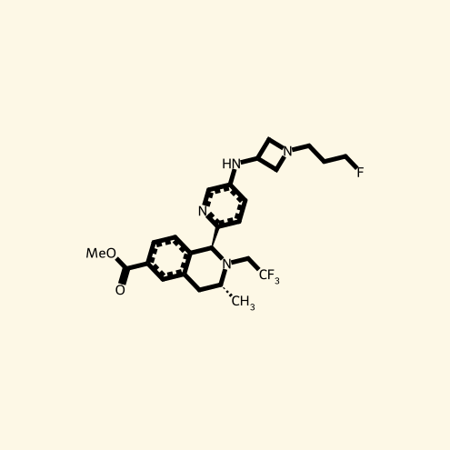 COC(=O)c1ccc2c(c1)C[C@@H](C)N(CC(F)(F)F)[C@@H]2c1ccc(NC2CN(CCCF)C2)cn1